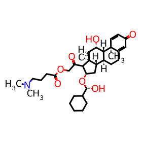 CN(C)CCCC(=O)OCC(=O)C1[C@H](O[C@H](O)C2CCCCC2)C[C@H]2[C@@H]3CCC4=CC(=O)C=C[C@]4(C)[C@H]3[C@@H](O)C[C@]12C